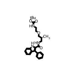 C[C@H](CNC(=O)c1[nH]c2ccccc2c1-c1ccccc1)COCCNC(=O)OC(C)(C)C